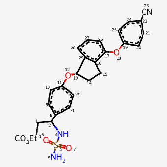 CCOC(=O)CC(NS(N)(=O)=O)c1ccc(O[C@@H]2CCc3c(Oc4ccc(C#N)cc4)cccc32)cc1